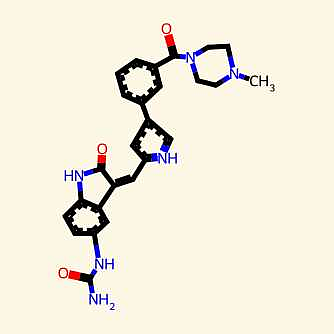 CN1CCN(C(=O)c2cccc(-c3c[nH]c(C=C4C(=O)Nc5ccc(NC(N)=O)cc54)c3)c2)CC1